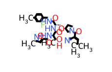 Cc1ccc(CNC(=O)[C@H](CO[C@@H]2CCN(C(=O)C(C#N)=CC(C)C)C2)NC(=O)[C@@H](NC(=O)c2cc(C)no2)[C@@H](C)O)c(F)c1